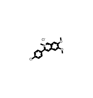 COc1cc2cc(-c3ccc(Cl)cc3)[n+](C)cc2cc1OC.[Cl-]